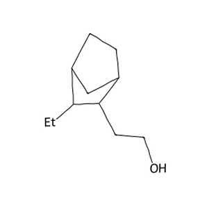 CCC1C2CCC(C2)C1CCO